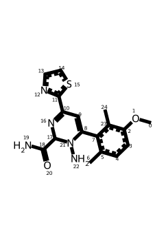 COc1ccc(C)c(C2=CC(c3nccs3)=NC(C(N)=O)N2N)c1C